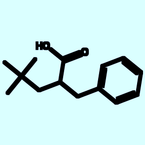 CC(C)(C)CC(Cc1ccccc1)C(=O)O